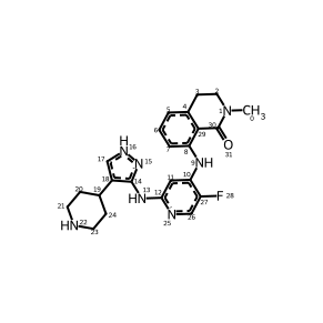 CN1CCc2cccc(Nc3cc(Nc4n[nH]cc4C4CCNCC4)ncc3F)c2C1=O